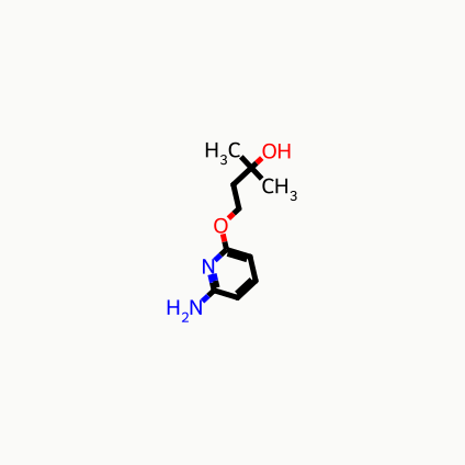 CC(C)(O)CCOc1cccc(N)n1